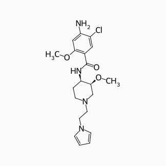 COc1cc(N)c(Cl)cc1C(=O)N[C@@H]1CCN(CCn2cccc2)C[C@@H]1OC